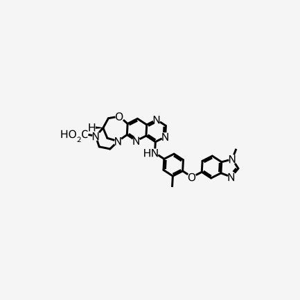 Cc1cc(Nc2ncnc3cc4c(nc23)N2CCN(C(=O)O)[C@H](CO4)C2)ccc1Oc1ccc2c(c1)ncn2C